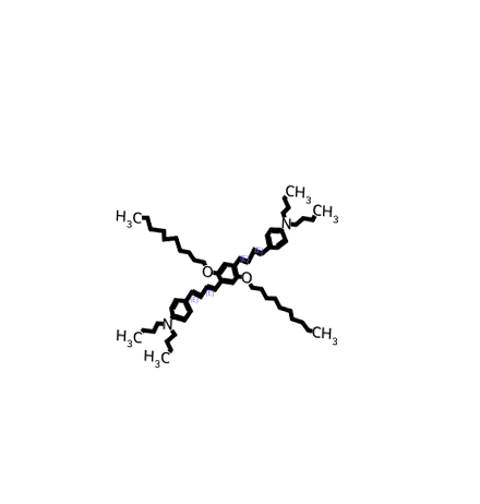 CCCCCCCCCCOc1cc(/C=C/C=C/c2ccc(N(CCCC)CCCC)cc2)c(OCCCCCCCCCC)cc1/C=C/C=C/c1ccc(N(CCCC)CCCC)cc1